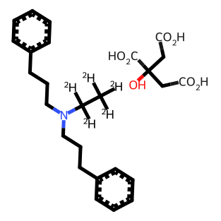 O=C(O)CC(O)(CC(=O)O)C(=O)O.[2H]C([2H])([2H])C([2H])([2H])N(CCCc1ccccc1)CCCc1ccccc1